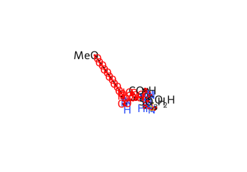 COCCOCCOCCOCCOCCOCCOCCOCCOCCOCCOCCOc1ccc(C[C@@H](C(=O)NCCCCc2ccc(COC(=O)N(CCOC34CC5(C)CC(C)(CC(Cn6ncc(-c7ccc(N8CCc9cccc(C(=O)Nc%10nc%11ccccc%11s%10)c9C8)nc7C(=O)O)c6C)(C5)C3)C4)CCS(=O)(=O)O)c(O[C@@H]3O[C@H](C(=O)O)[C@@H](O)[C@H](O)[C@H]3O)c2)N2C(=O)C=CC2=O)cc1